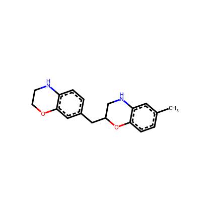 Cc1ccc2c(c1)NCC(Cc1ccc3c(c1)OCCN3)O2